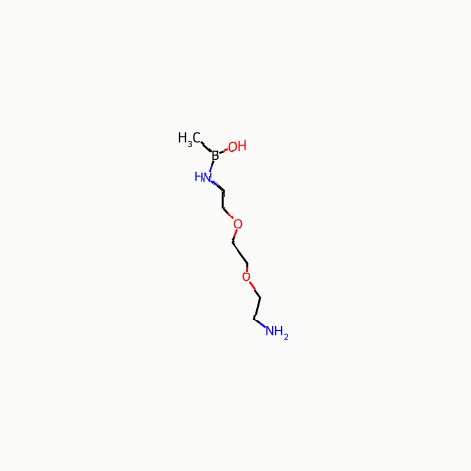 CB(O)NCCOCCOCCN